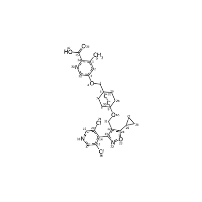 Cc1cc(OCC23CCC(OCc4c(-c5c(Cl)cncc5Cl)noc4C4CC4)(CC2)CC3)cnc1C(=O)O